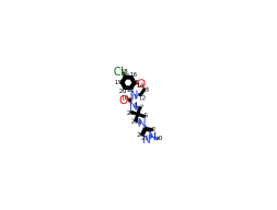 Cn1cc(N2CC3(CN(C(=O)N4CCOc5cc(Cl)ccc54)C3)C2)cn1